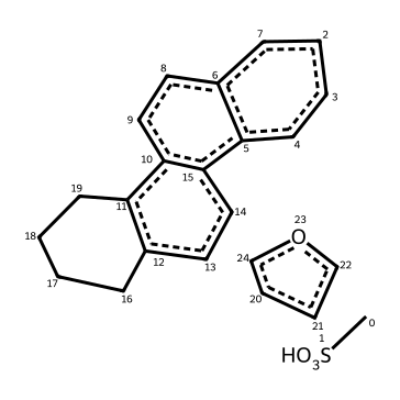 CS(=O)(=O)O.c1ccc2c(c1)ccc1c3c(ccc12)CCCC3.c1ccoc1